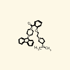 CN(C)[C@@H]1CCN(CCOc2ccccc2C(=O)N2CCN(C3c4ccccc4-c4ccccc43)CC2)C1